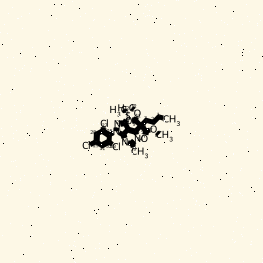 CCCCC(C(=O)OC)(C(=O)OC)c1nc(C)nc2c1c(SC)nn2-c1c(Cl)cc(Cl)cc1Cl